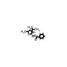 C=C(C)C1(F)CC(C)O[C@@H]1COC(=O)c1ccccc1